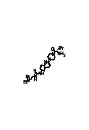 CCN(CC)CCNC(=S)Nc1ccc2nc(N3CCN(C(=O)[C@@H](N)C(C)C)CC3)ccc2c1